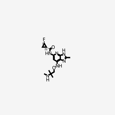 CNC(C)(C)CONc1cc(NC(=O)[C@@H]2C[C@@H]2F)nc2[nH]c(C)nc12